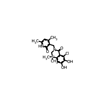 Cc1cc(C)c(CN2C[Si](C)(C)c3cc(O)c(O)c(Cl)c3C2=O)c(=O)[nH]1